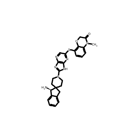 CN1C(=O)COc2c(Sc3cnc4nc(N5CCC6(CC5)Cc5ccccc5[C@H]6N)[nH]c4n3)cccc21